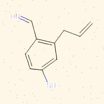 C=CCc1cc(N)ccc1C=N